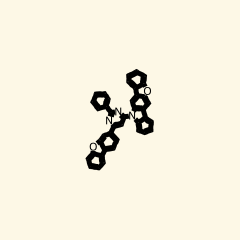 c1ccc(-c2nc(-c3ccc4c(c3)oc3ccccc34)cc(-n3c4ccccc4c4cc5oc6ccccc6c5cc43)n2)cc1